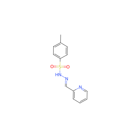 Cc1ccc(S(=O)(=O)N/N=C/c2ccccn2)cc1